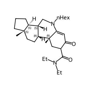 CCCCCCN1C[C@@H]2[C@@H](CC[C@]3(C)CCC[C@@H]23)[C@@]2(C)CC(C(=O)N(CC)CC)C(=O)C=C12